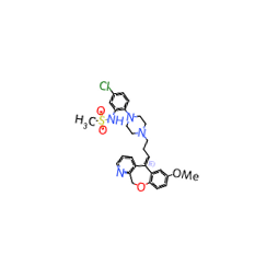 COc1ccc2c(c1)/C(=C/CCN1CCN(c3ccc(Cl)cc3NS(C)(=O)=O)CC1)c1cccnc1CO2